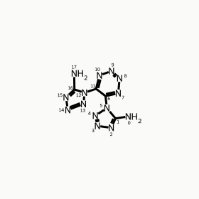 Nc1nnnn1-c1nnnnc1-n1nnnc1N